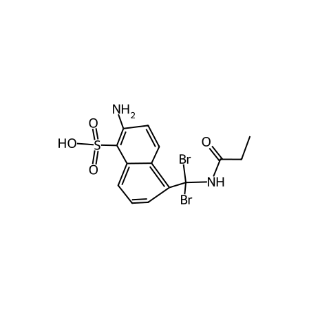 CCC(=O)NC(Br)(Br)c1cccc2c(S(=O)(=O)O)c(N)ccc12